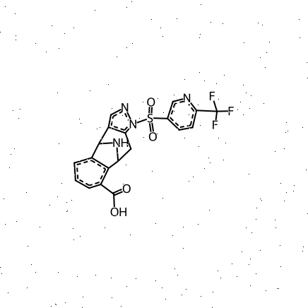 O=C(O)c1cccc2c1C1Cc3c(cnn3S(=O)(=O)c3ccc(C(F)(F)F)nc3)C2N1